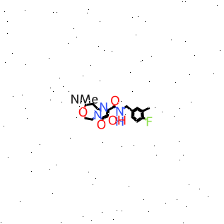 CN[C@@H]1COCCn2c1nc(C(=O)NCc1ccc(F)c(C)c1)c(O)c2=O